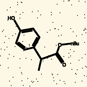 CCCCOC(=O)C(C)c1ccc(O)cc1